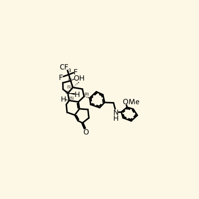 COc1ccccc1NCc1ccc([C@H]2C[C@@]3(C)[C@@H](CC[C@@]3(O)C(F)(F)C(F)(F)F)[C@@H]3CCC4=CC(=O)CCC4=C32)cc1